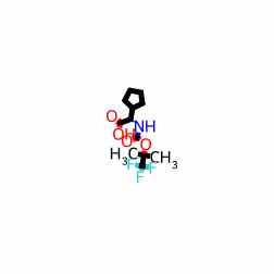 CC(C)(OC(=O)N[C@H](C(=O)O)C1CCCC1)C(F)(F)F